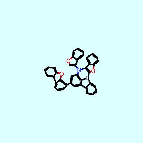 c1ccc2c(c1)B1c3oc4ccccc4c3N(c3coc4ccccc34)c3cc(-c4cccc5c4oc4ccccc45)cc-2c31